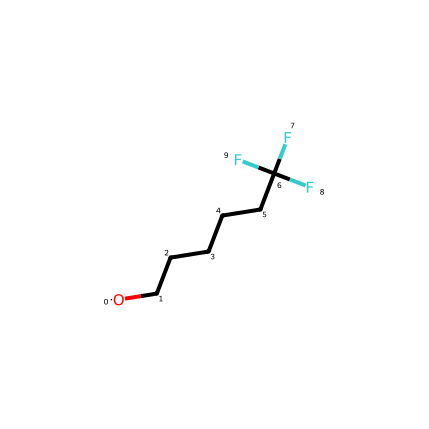 [O]CCCCCC(F)(F)F